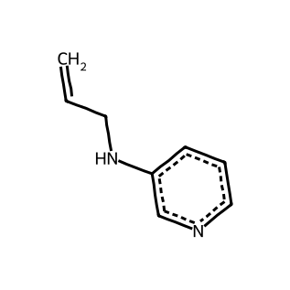 C=CCNc1cccnc1